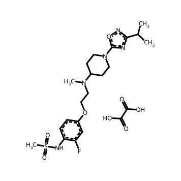 CC(C)c1noc(N2CCC(N(C)CCOc3ccc(NS(C)(=O)=O)c(F)c3)CC2)n1.O=C(O)C(=O)O